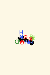 Cc1[nH]c(C)c(-c2c[nH]c(-c3ccccc3OC(F)(F)F)cc2=O)c(=O)c1Cl